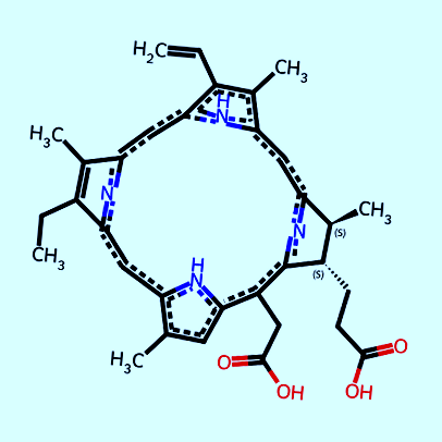 C=Cc1c(C)c2cc3nc(c(CC(=O)O)c4cc(C)c(cc5nc(cc1[nH]2)C(C)=C5CC)[nH]4)[C@@H](CCC(=O)O)[C@@H]3C